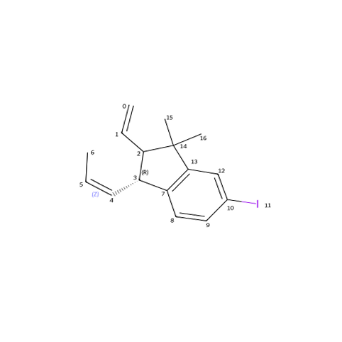 C=CC1[C@@H](/C=C\C)c2ccc(I)cc2C1(C)C